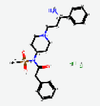 CCCS(=O)(=O)N(C(=O)Cc1ccccc1)C1CCN(CC[C@H](N)c2ccccc2)CC1.Cl.Cl